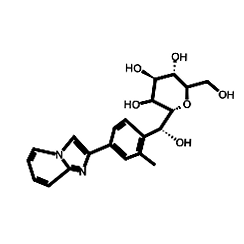 Cc1cc(-c2cn3ccccc3n2)ccc1[C@@H](O)[C@H]1OC(CO)[C@@H](O)[C@H](O)C1O